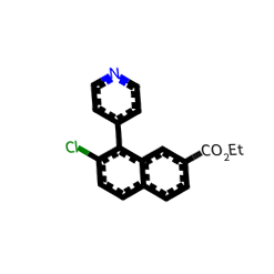 CCOC(=O)c1ccc2ccc(Cl)c(-c3ccncc3)c2c1